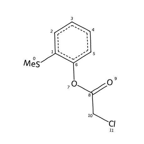 CSc1ccccc1OC(=O)CCl